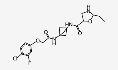 CCC1NCC(C(=O)NC23CC(NC(=O)COc4ccc(Cl)c(F)c4)(C2)C3)O1